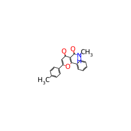 CNC(=O)c1c(-c2ccccc2)oc(-c2ccc(C)cc2)cc1=O